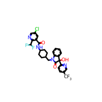 O=C(NC1CCC(CN2C(=O)C(O)(c3ccc(C(F)(F)F)cn3)c3ccccc32)CC1)c1cc(Cl)cnc1C(F)F